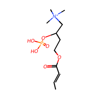 CC=CC(=O)OCCC(C[N+](C)(C)C)OP(=O)(O)O